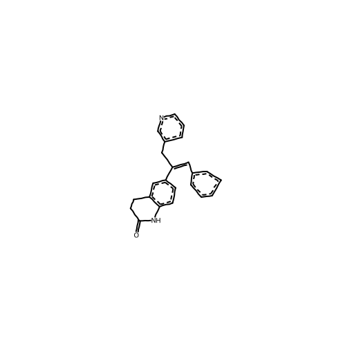 O=C1CCc2cc(/C(=C\c3ccccc3)Cc3cccnc3)ccc2N1